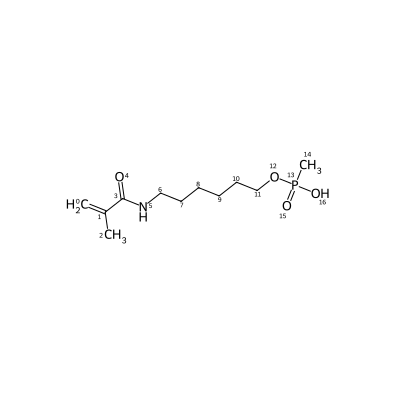 C=C(C)C(=O)NCCCCCCOP(C)(=O)O